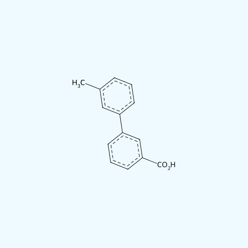 Cc1cccc(-c2cccc(C(=O)O)c2)c1